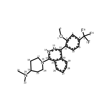 COc1cc(C(F)(F)F)ccc1-c1nnc(N2CCC(N(C)C)CC2)c2ccccc12